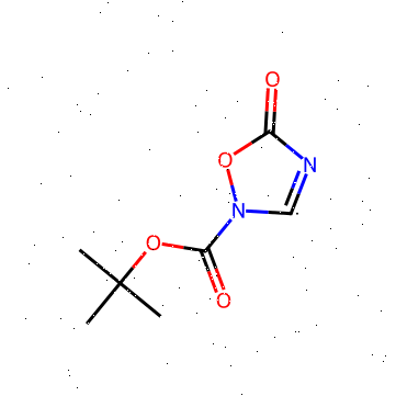 CC(C)(C)OC(=O)n1[c]nc(=O)o1